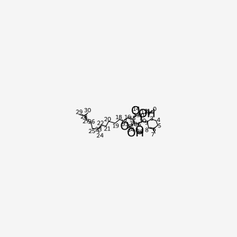 C=C(C)[C@@H]1CCC(C)=C[C@H]1C1=C(O)C(=O)C(CCCCCC/C=C(\C)CCC=C(C)C)=C(C(=O)O)C1=O